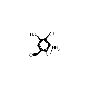 Cc1ccc(C=O)cc1C.NN